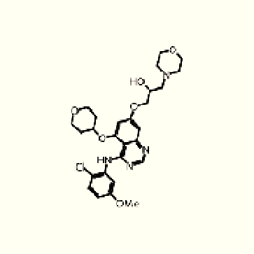 COc1ccc(Cl)c(Nc2ncnc3cc(OC[C@@H](O)CN4CCOCC4)cc(OC4CCOCC4)c23)c1